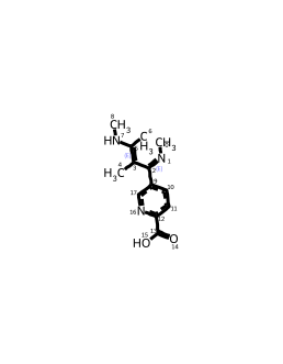 C/N=C(\C(C)=C(/C)NC)c1ccc(C(=O)O)nc1